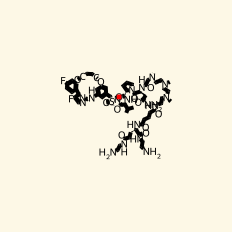 CC(C)[C@H](NC(=O)[C@@H]1CCCN1C(=O)[C@H](CC(N)=O)NC(=O)CN(C)CCN(C)CCN(C)CCNC(=O)CCCC(=O)N[C@@H](CCC(=O)NCCN)C(=O)NCCN)C(=O)N=S(C)(=O)Cc1cc2cc(c1)OCCCCOc1cc(F)ccc1-c1nc(ncc1F)N2